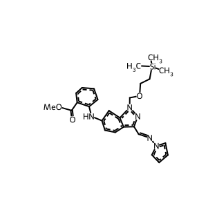 COC(=O)c1ccccc1Nc1ccc2c(C=Nn3cccc3)nn(COCC[Si](C)(C)C)c2c1